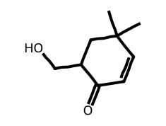 CC1(C)C=CC(=O)C(CO)C1